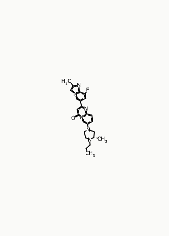 CCCN1CCN(c2ccc3nc(-c4cc(F)c5nc(C)cn5c4)cc(=O)n3c2)C[C@@H]1C